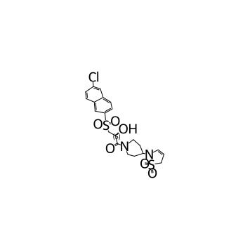 O=C([C@H](O)CS(=O)(=O)c1ccc2cc(Cl)ccc2c1)N1CCC(N2C=CCS2(=O)=O)CC1